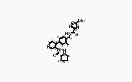 Cc1cc(-c2ccncc2NC(=O)[C@H]2CCCCN2)ccc1CNC(=O)c1noc(C(C)(C)C)n1